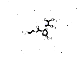 C=CCOC(=O)N1C[C@H](O)C[C@H]1/C=C(\C)C(C)=O